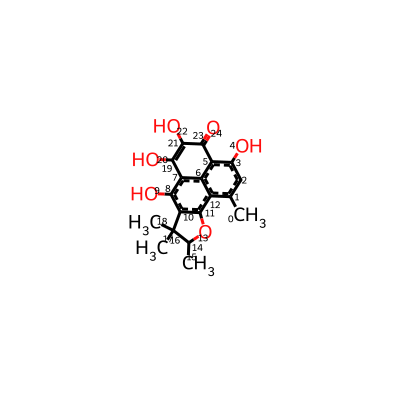 Cc1cc(O)c2c3c(c(O)c4c(c13)OC(C)C4(C)C)C(O)=C(O)C2=O